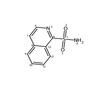 NS(=O)(=O)c1nccc2ccccc12